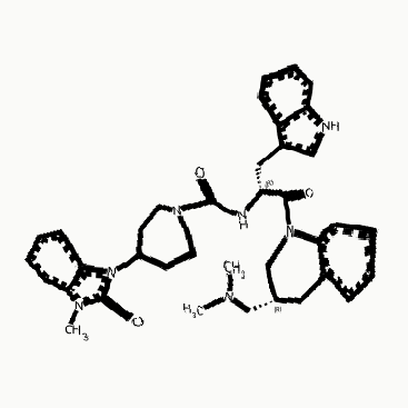 CN(C)C[C@H]1Cc2ccccc2N(C(=O)[C@@H](Cc2c[nH]c3ccccc23)NC(=O)N2CCC(n3c(=O)n(C)c4ccccc43)CC2)C1